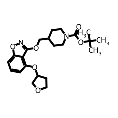 CC(C)(C)OC(=O)N1CCC(COc2noc3cccc(OC4CCOC4)c23)CC1